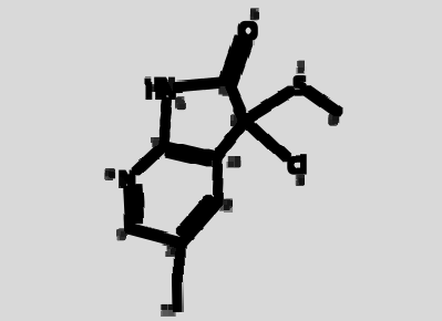 CSC1(Cl)C(=O)Nc2ncc(C)cc21